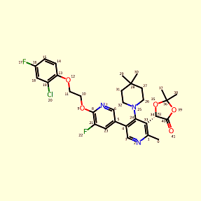 Cc1ncc(-c2cnc(OCCOc3ccc(F)cc3Cl)c(F)c2)c(N2CCC(C)(C)CC2)c1[C@@H]1OC(C)(C)OC1=O